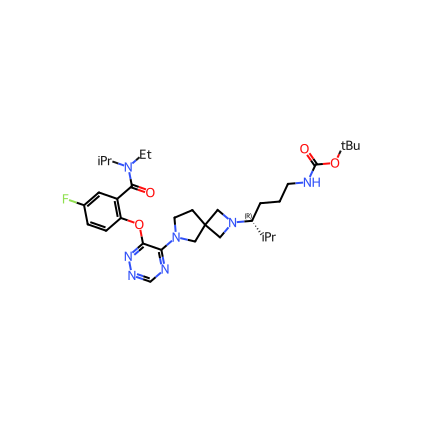 CCN(C(=O)c1cc(F)ccc1Oc1nncnc1N1CCC2(C1)CN([C@H](CCCNC(=O)OC(C)(C)C)C(C)C)C2)C(C)C